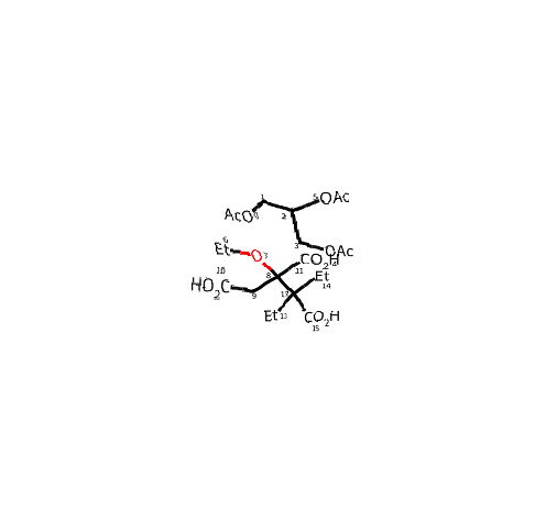 CC(=O)OCC(COC(C)=O)OC(C)=O.CCOC(CC(=O)O)(C(=O)O)C(CC)(CC)C(=O)O